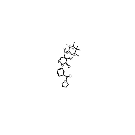 C[C@@H]1[C@@H](C)C(C)(C)[C@@H](C)C[C@H]1Nc1cnn(-c2cccc(C(=O)N3CCCC3)c2)c(=O)c1Br